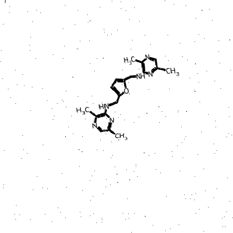 Cc1cnc(C)c(NCc2ccc(CNc3nc(C)cnc3C)o2)n1